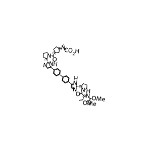 COC(=O)N[C@H](C(=O)N1CCC[C@H]1c1ncc(-c2ccc(-c3ccc(-c4cnc([C@@H]5CCCN5C(=O)[C@H]5CC[C@@H](N(C)C(=O)O)C5)[nH]4)cc3)cc2)[nH]1)C(C)OC